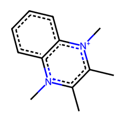 Cc1c(C)[n+](C)c2ccccc2[n+]1C